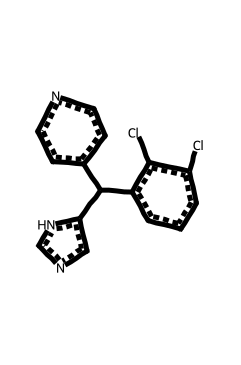 Clc1cccc(C(c2ccncc2)c2cnc[nH]2)c1Cl